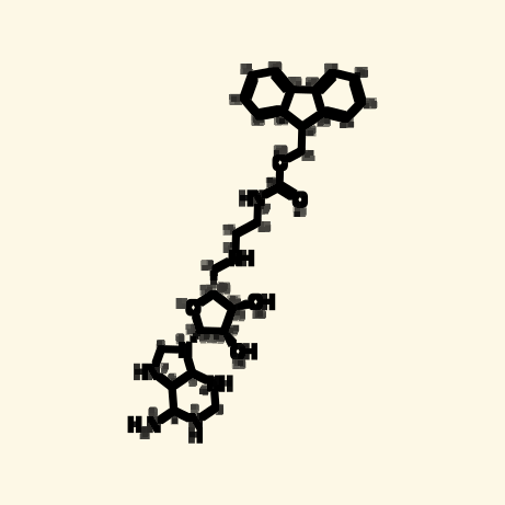 NC1NCNC2C1NCN2[C@@H]1O[C@H](CNCCNC(=O)OCC2c3ccccc3-c3ccccc32)[C@@H](O)[C@H]1O